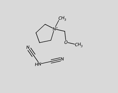 COC[N+]1(C)CCCC1.N#CNC#N